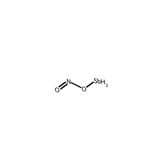 O=N[O][SbH2]